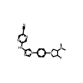 CN(C)C1CN(c2ccc(-n3cnc(Nc4cnc(C#N)cn4)c3)cc2)CC1F